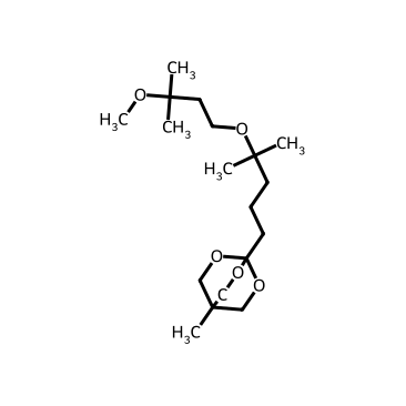 COC(C)(C)CCOC(C)(C)CCCC12OCC(C)(CO1)CO2